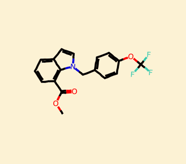 COC(=O)c1cccc2ccn(Cc3ccc(OC(F)(F)F)cc3)c12